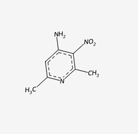 Cc1cc(N)c([N+](=O)[O-])c(C)n1